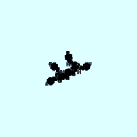 O=C(NCCc1ccc(F)cc1)C1CN(C(=O)c2cccc(C(=O)N3CC(C(=O)NCCc4ccc(F)cc4)[C@H](C(=O)NCCc4ccc(F)cc4)C3)c2)C[C@H]1C(=O)NCCc1ccc(F)cc1